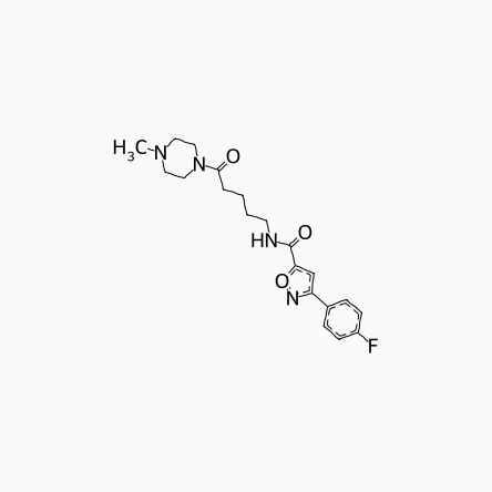 CN1CCN(C(=O)CCCCNC(=O)c2cc(-c3ccc(F)cc3)no2)CC1